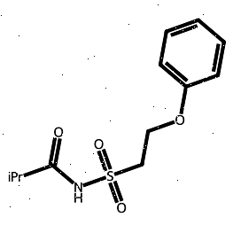 CC(C)C(=O)NS(=O)(=O)CCOc1ccccc1